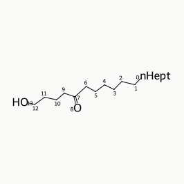 CCCCCCCCCCCCCC(=O)CCCCO